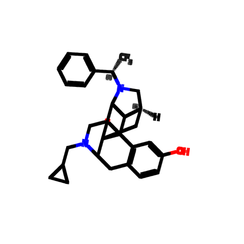 Oc1ccc2c(c1)C13CCN(CC4CC4)C(C2)C12CCC1C3[C@@H](CN1[C@H](c1ccccc1)C(F)(F)F)C2